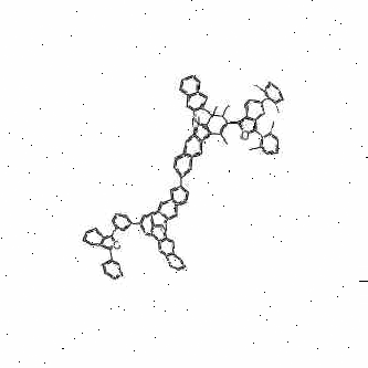 CC1=C(c2oc(-c3c(C)cccc3C)c3cc(-c4c(C)cccc4C)ccc23)C(C)C2(C)c3cc4ccccc4cc3-n3c2c1c1cc2cc(-c4ccc5cc6c(cc5c4)c4cc(-c5cccc(-c7oc(-c8ccccc8)c8ccccc78)c5)cc5c7cc8ccccc8cc7n6c54)ccc2cc13